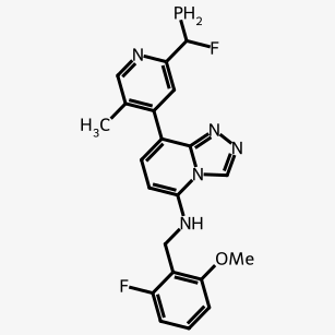 COc1cccc(F)c1CNc1ccc(-c2cc(C(F)P)ncc2C)c2nncn12